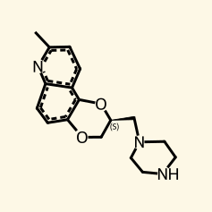 Cc1ccc2c3c(ccc2n1)OC[C@H](CN1CCNCC1)O3